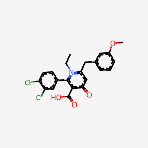 CCn1c(Cc2cccc(OC)c2)cc(=O)c(C(=O)O)c1-c1ccc(Cl)c(Cl)c1